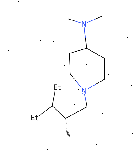 CCC(CC)[C@@H](C)CN1CCC(N(C)C)CC1